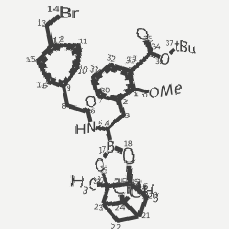 COc1c(CC(NC(=O)Cc2ccc(CBr)cc2)B2OC3CC4CC(C4(C)C)C3(C)O2)cccc1C(=O)OC(C)(C)C